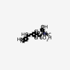 [C-]#[N+]/N=C(\NC[C@H](CC(=O)c1c(Cl)cc(CCC(O)c2ccc3cn[nH]c3c2)cc1Cl)C(=O)O)N1CC[C@H](O)C1